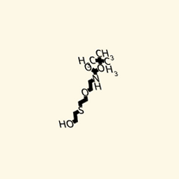 CC(C)(C)OC(=O)NCCOCCSCCO